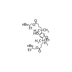 CCCCC(CC)COC(=O)CCCC(C)(C)c1cc(OCC)c(C(C)(C)CCCC(=O)OCC(CC)CCCC)cc1O